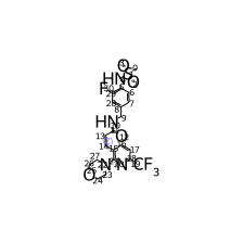 CS(=O)(=O)Nc1ccc(CNC(=O)/C=C\c2ccc(C(F)(F)F)nc2N2CCOCC2)cc1F